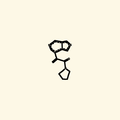 C=C(C(=O)N1CCCC1)n1cncc2cncc1-2